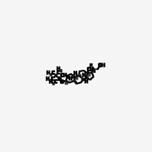 CC(C)(C)[Si](C)(C)O[C@H]1CC[C@H]2C(=CC[C@@H]3[C@@H]2CC[C@]2(C)C(=C(F)CO)CC[C@@H]32)C1